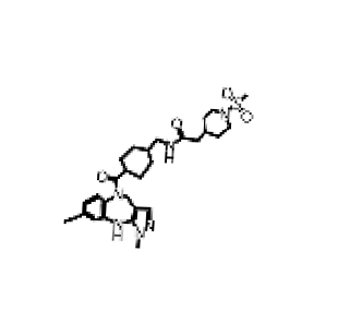 Cc1ccc2c(c1)Nc1c(cnn1C)CN2C(=O)C1CCC(CNC(=O)CC2CCN(S(C)(=O)=O)CC2)CC1